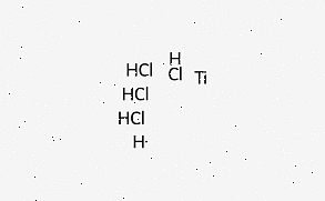 Cl.Cl.Cl.Cl.[H].[Ti]